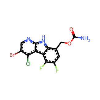 NC(=O)OCc1cc(F)c(F)c2c1[nH]c1ncc(Br)c(Cl)c12